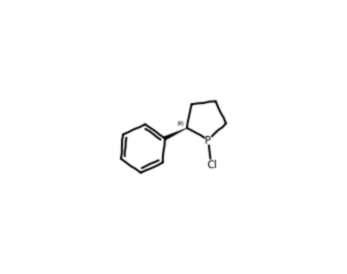 ClP1CCC[C@@H]1c1ccccc1